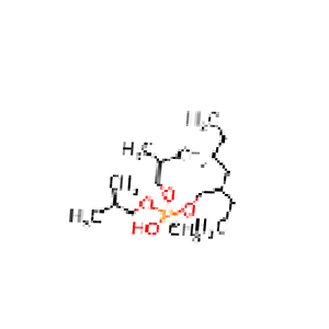 CCCCC(CC)COP(C)(O)(OCC(C)C)OCC(C)C